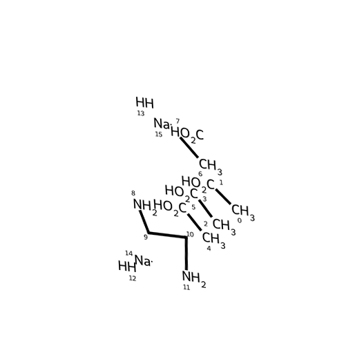 CC(=O)O.CC(=O)O.CC(=O)O.CC(=O)O.NCCN.[HH].[HH].[Na].[Na]